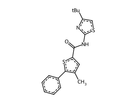 Cc1cc(C(=O)Nc2nc(C(C)(C)C)cs2)sc1-c1ccccc1